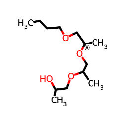 CCCCOC[C@@H](C)OCC(C)OCC(C)O